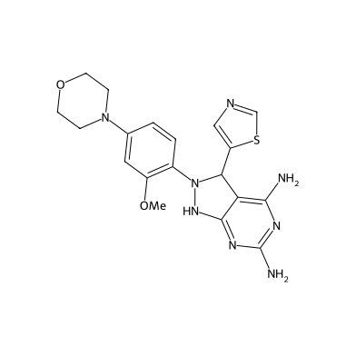 COc1cc(N2CCOCC2)ccc1N1Nc2nc(N)nc(N)c2C1c1cncs1